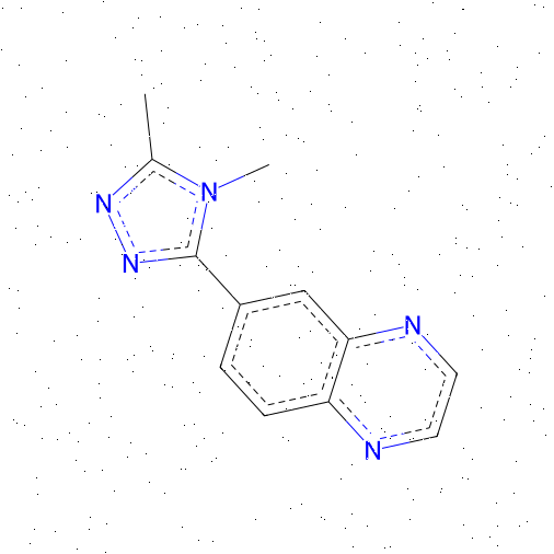 Cc1nnc(-c2ccc3nccnc3c2)n1C